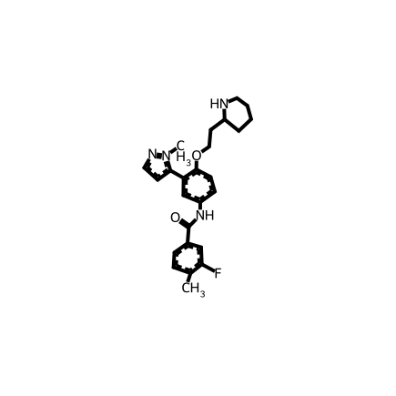 Cc1ccc(C(=O)Nc2ccc(OCCC3CCCCN3)c(-c3ccnn3C)c2)cc1F